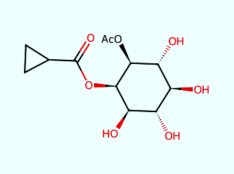 CC(=O)O[C@H]1[C@H](O)[C@@H](O)[C@H](O)[C@@H](O)[C@H]1OC(=O)C1CC1